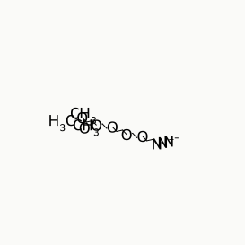 CC(C)(C)OC(=O)COCCOCCOCCOCCN=[N+]=[N-]